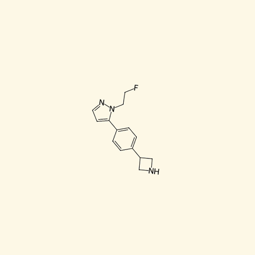 FCCn1nccc1-c1ccc(C2CNC2)cc1